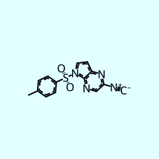 [C-]#[N+]c1cnc2c(ccn2S(=O)(=O)c2ccc(C)cc2)n1